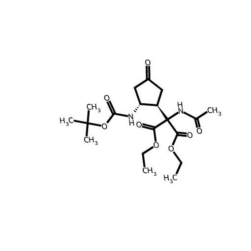 CCOC(=O)C(NC(C)=O)(C(=O)OCC)[C@@H]1CC(=O)C[C@H]1NC(=O)OC(C)(C)C